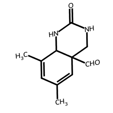 CC1=CC2(C=O)CNC(=O)NC2C(C)=C1